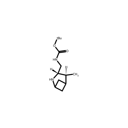 C[C@H]1C2CC(C2)N[C@@H]1CNC(=O)OC(C)(C)C